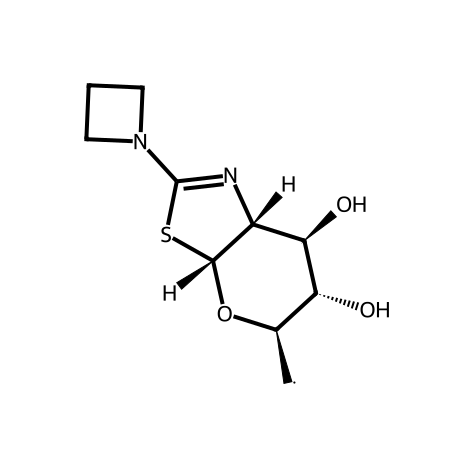 [CH2][C@H]1O[C@@H]2SC(N3CCC3)=N[C@@H]2[C@@H](O)[C@@H]1O